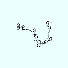 C=CC(=O)C(C)OCCCCCC(=O)C(C)OCC(C)(C)C(=O)OCC(C)(C)COC(C)(CC)C(=O)CCCCCOC(C)(C)C(=O)C=C